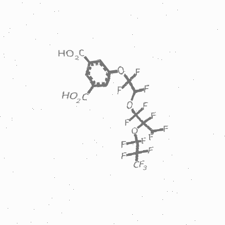 O=C(O)c1cc(OC(F)(F)C(F)OC(F)(F)C(F)(OC(F)(F)C(F)(F)C(F)(F)F)C(F)F)cc(C(=O)O)c1